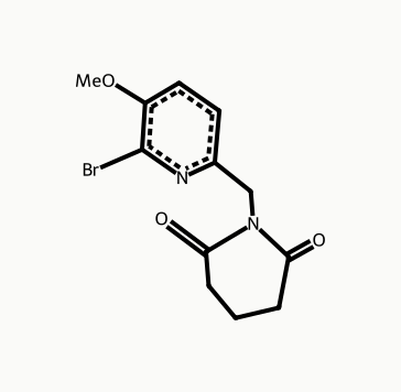 COc1ccc(CN2C(=O)CCCC2=O)nc1Br